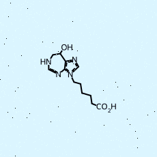 O=C(O)CCCCCn1cnc2c1N=CNCC2O